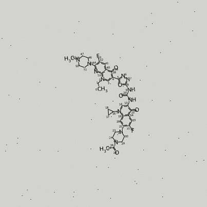 CCn1cc(-c2nnc(NC(=O)Nc3cn(C4CC4)c4cc(N5CCN(C(C)=O)CC5)c(F)cc4c3=O)o2)c(=O)c2cc(F)c(N3CCN(C)CC3)nc21